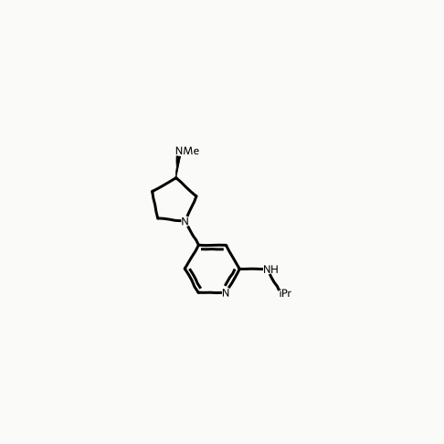 CN[C@@H]1CCN(c2ccnc(NC(C)C)c2)C1